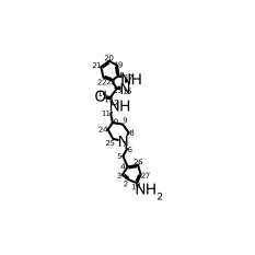 Nc1ccc(CCN2CCC(CNC(=O)c3n[nH]c4ccccc34)CC2)cc1